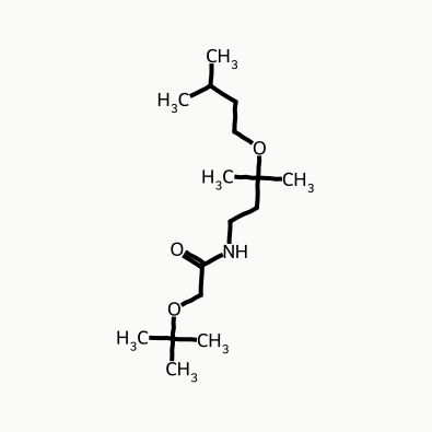 CC(C)CCOC(C)(C)CCNC(=O)COC(C)(C)C